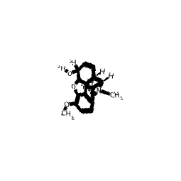 [2H]OC1([2H])C=C[C@H]2[C@@H]3N(C)CC[C@@]24c2c(ccc(OC)c2OC14)C3([2H])[2H]